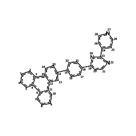 c1ccc2c(c1)c1ccccc1c1cc(-c3ccc(-c4ccnc(-c5ccncc5)n4)cc3)ccc21